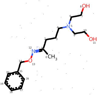 C/C(CCCN(CCO)CCO)=N\OCc1ccccc1